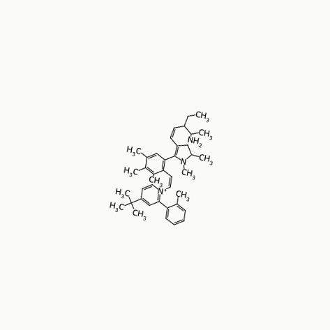 CCC(/C=C\C1=C(c2cc(C)c(C)c(C)c2/C=C\[n+]2ccc(C(C)(C)C)cc2-c2ccccc2C)N(C)C(C)C1)C(C)N